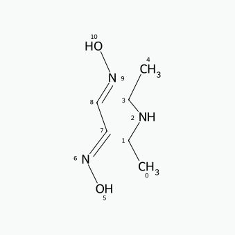 CCNCC.ON=CC=NO